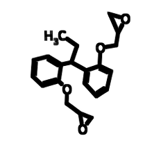 CCC(c1ccccc1OCC1CO1)c1ccccc1OCC1CO1